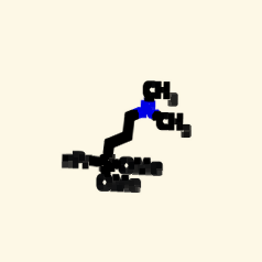 CCC[Si](CCCN(C)C)(OC)OC